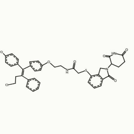 O=C(CSc1cccc2c1CN(C1CCC(=O)NC1=O)C2=O)NCCOc1ccc(C(=C(CCCl)c2ccccc2)c2ccc(O)cc2)cc1